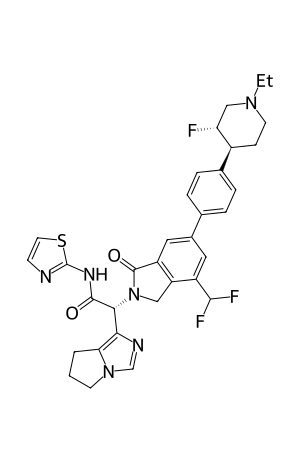 CCN1CC[C@@H](c2ccc(-c3cc4c(c(C(F)F)c3)CN([C@@H](C(=O)Nc3nccs3)c3ncn5c3CCC5)C4=O)cc2)[C@H](F)C1